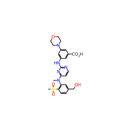 CN(c1ccnc(Nc2cc(C(=O)O)cc(N3CCOCC3)c2)n1)c1cc(CO)ccc1S(C)(=O)=O